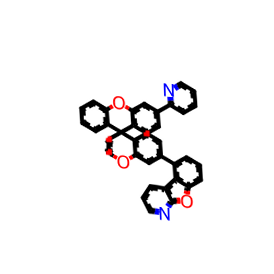 c1ccc(-c2ccc3c(c2)Oc2ccccc2C32c3ccccc3Oc3cc(-c4cccc5oc6ncccc6c45)ccc32)nc1